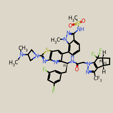 CN(C)C1CN(c2nc3nc([C@H](Cc4cc(F)cc(F)c4)NC(=O)Cn4nc(C(F)(F)F)c5c4C(F)(F)[C@@H]4CC[C@H]54)c(-c4cccc5c(NS(C)(=O)=O)nn(C)c45)cc3s2)C1